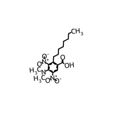 CCCCCCCCc1c(C(=O)O)cc([N+](=O)[O-])c(N(C)C)c1[N+](=O)[O-]